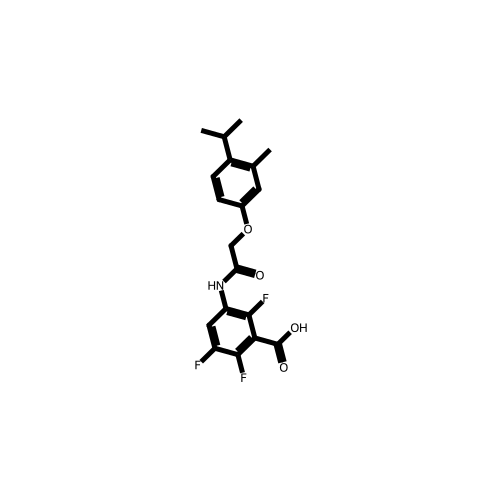 Cc1cc(OCC(=O)Nc2cc(F)c(F)c(C(=O)O)c2F)ccc1C(C)C